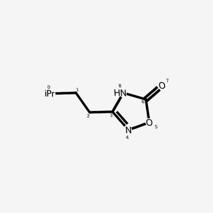 CC(C)CCc1noc(=O)[nH]1